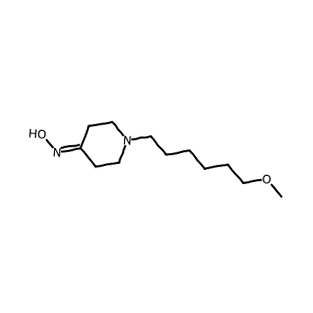 COCCCCCCN1CCC(=NO)CC1